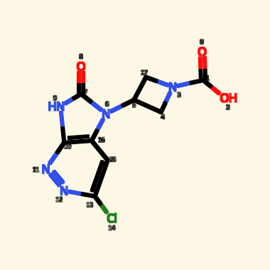 O=C(O)N1CC(n2c(=O)[nH]c3nnc(Cl)cc32)C1